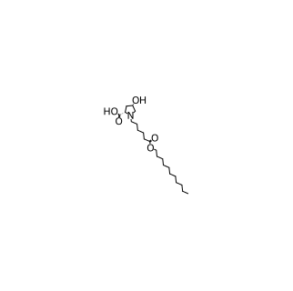 CCCCCCCCCCCOC(=O)CCCCCN1C[C@@H](O)C[C@H]1C(=O)O